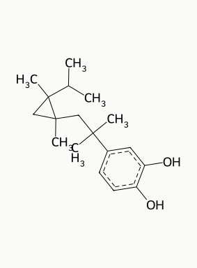 CC(C)C1(C)CC1(C)CC(C)(C)c1ccc(O)c(O)c1